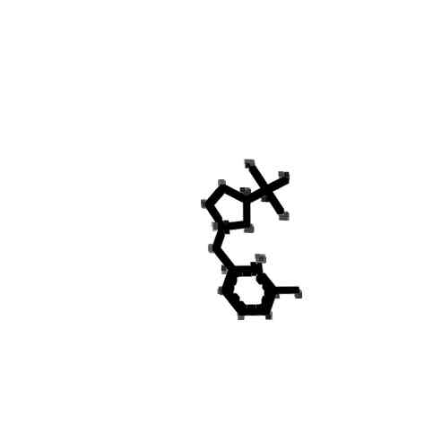 Cc1cccc(CN2CCC(C(C)(C)C)C2)n1